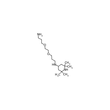 CC1(C)CC(NCCCOCCOCCCN)CC(C)(C)N1